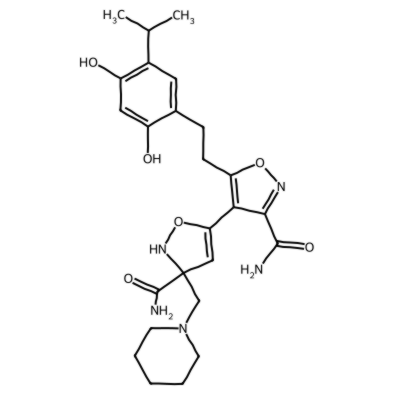 CC(C)c1cc(CCc2onc(C(N)=O)c2C2=CC(CN3CCCCC3)(C(N)=O)NO2)c(O)cc1O